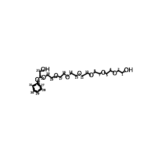 OCCOCCOCCOCCOCCOCCOCCOC(CO)Oc1ccccc1